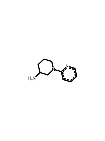 NC1CCCN(c2ccccn2)C1